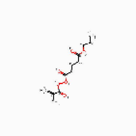 C=C(C)C(=O)OOC(=O)CCCC(=O)OCCC